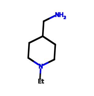 CCN1CCC(CN)CC1